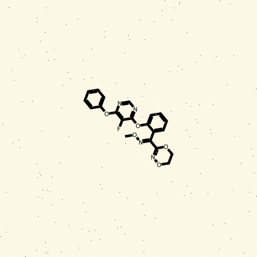 CON=C(C1=NOCCO1)c1ccccc1Oc1ncnc(Oc2ccccc2)c1F